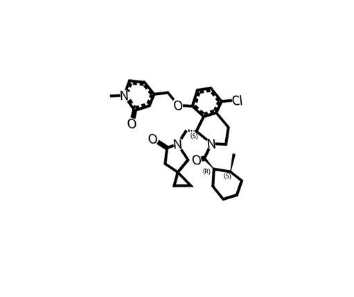 C[C@H]1CCCC[C@H]1C(=O)N1CCc2c(Cl)ccc(OCc3ccn(C)c(=O)c3)c2[C@H]1CN1CC2(CC2)CC1=O